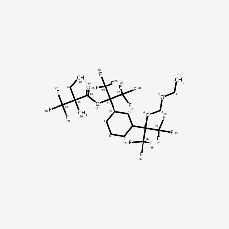 CCOCOC(C1CCCC(C(OC(=O)C(C)(CC)C(F)(F)F)(C(F)(F)F)C(F)(F)F)C1)(C(F)(F)F)C(F)(F)F